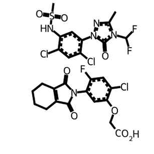 Cc1nn(-c2cc(NS(C)(=O)=O)c(Cl)cc2Cl)c(=O)n1C(F)F.O=C(O)COc1cc(N2C(=O)C3=C(CCCC3)C2=O)c(F)cc1Cl